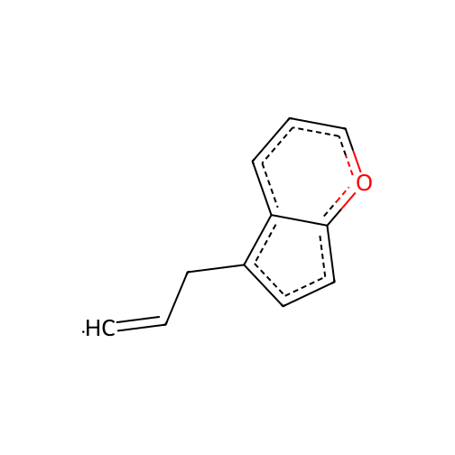 [CH]=CCc1ccc2occcc1-2